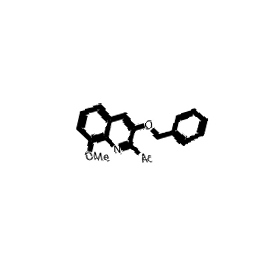 COc1cccc2cc(OCc3ccccc3)c(C(C)=O)nc12